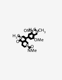 CNC(=O)N1CCc2c(c(-c3cc(OC)c(CN(C)C)c(OC)c3)cn(C)c2=O)C1